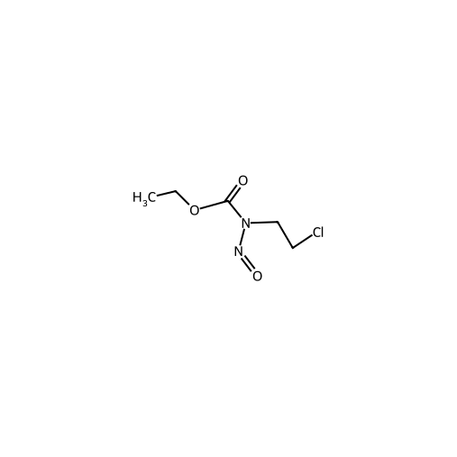 CCOC(=O)N(CCCl)N=O